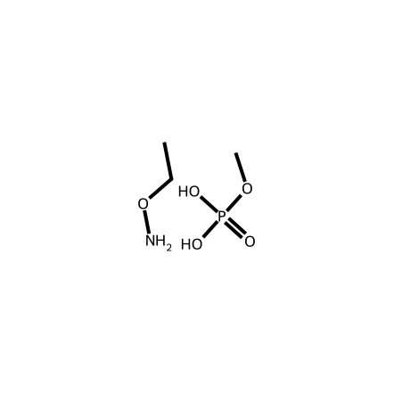 CCON.COP(=O)(O)O